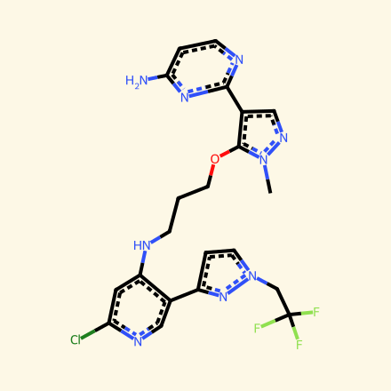 Cn1ncc(-c2nccc(N)n2)c1OCCCNc1cc(Cl)ncc1-c1ccn(CC(F)(F)F)n1